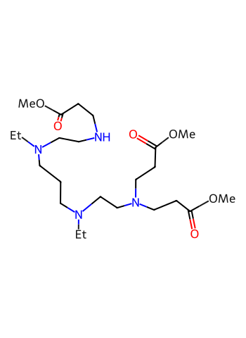 CCN(CCCN(CC)CCN(CCC(=O)OC)CCC(=O)OC)CCNCCC(=O)OC